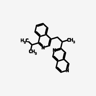 CC(C)c1ncc(CC(C)c2cc3cnccc3cn2)c2ccccc12